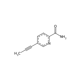 CC#Cc1ccc(C(N)=O)nc1